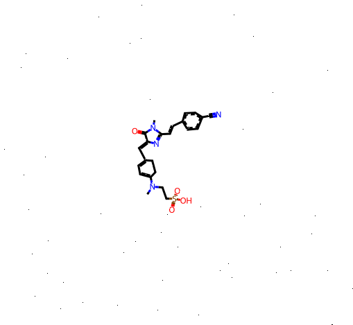 CN(CCS(=O)(=O)O)C1=CC=C(/C=C2N=C(/C=C/c3ccc(C#N)cc3)N(C)C\2=O)CC1